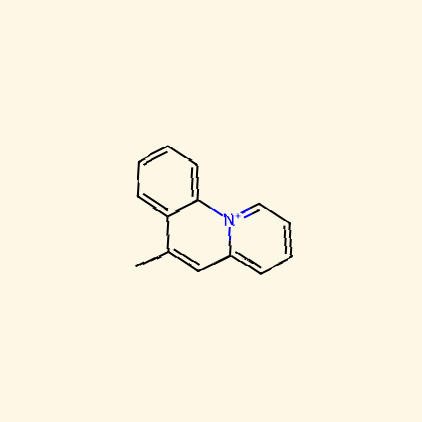 Cc1cc2cccc[n+]2c2ccccc12